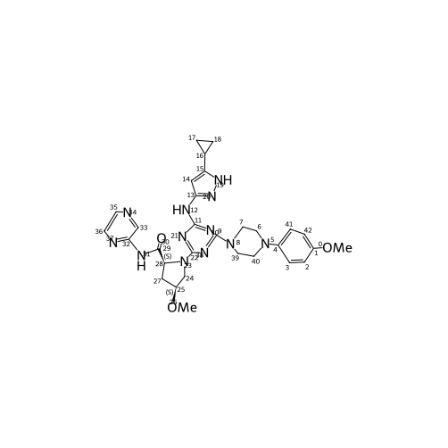 COc1ccc(N2CCN(c3nc(Nc4cc(C5CC5)[nH]n4)nc(N4C[C@@H](OC)C[C@H]4C(=O)Nc4cnccn4)n3)CC2)cc1